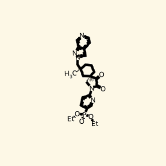 CCOP(=O)(OCC)c1ccc(N2C[C@]3(CCC[C@](C)(Cn4cc5ccncc5n4)C3)C(=O)C2=O)nc1